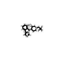 O[C@@H]1CN(CC(F)(F)F)CC[C@H]1C1c2ccccc2-c2cncn21